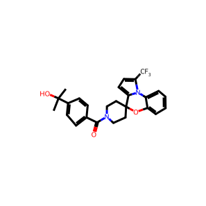 CC(C)(O)c1ccc(C(=O)N2CCC3(CC2)Oc2ccccc2-n2c(C(F)(F)F)ccc23)cc1